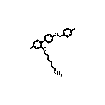 Cc1ccc(COc2ccc(-c3ccc(C)cc3OCCCCCCN)cc2)cc1